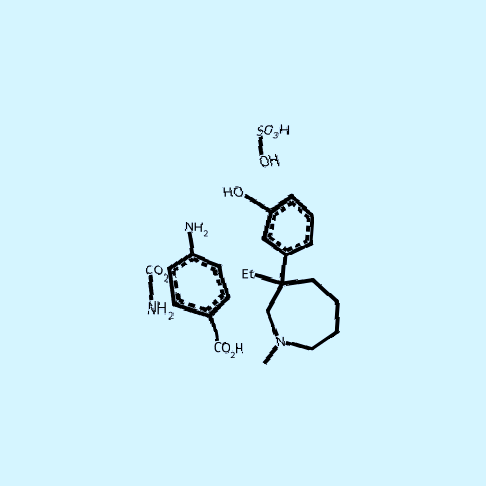 CCC1(c2cccc(O)c2)CCCCN(C)C1.NC(=O)O.Nc1ccc(C(=O)O)cc1.O=S(=O)(O)O